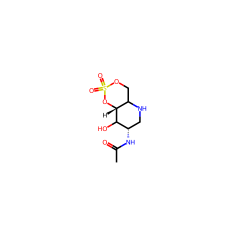 CC(=O)N[C@H]1CNC2COS(=O)(=O)O[C@H]2C1O